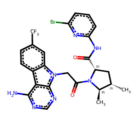 C[C@@H]1[C@@H](C)C[C@@H](C(=O)Nc2cccc(Br)n2)N1C(=O)Cn1c2cc(C(F)(F)F)ccc2c2c(N)ncnc21